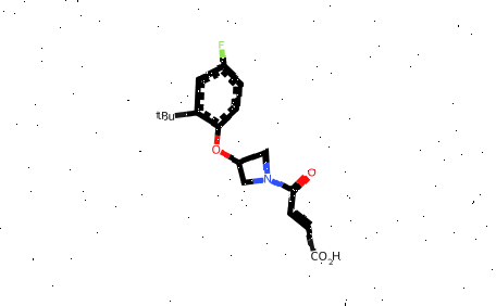 CC(C)(C)c1cc(F)ccc1OC1CN(C(=O)/C=C/C(=O)O)C1